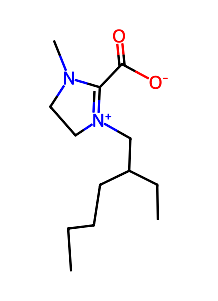 CCCCC(CC)C[N+]1=C(C(=O)[O-])N(C)CC1